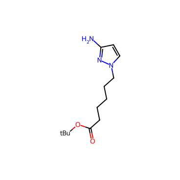 CC(C)(C)OC(=O)CCCCCn1ccc(N)n1